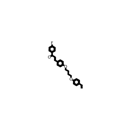 C=Cc1ccc(OCCCCOc2ccc(C=CC(=O)c3ccc(F)cc3)cc2)cc1